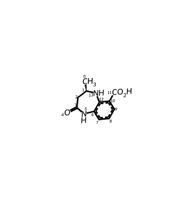 C[C@@H]1CC(=O)Nc2cccc(C(=O)O)c2N1